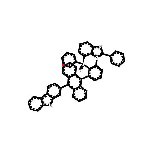 O=P1(c2ccccc2)c2c(-c3c4ccccc4c(-c4ccc5c(c4)sc4ccccc45)c4ccccc34)cccc2-n2c(-c3ccccc3)nc3cccc1c32